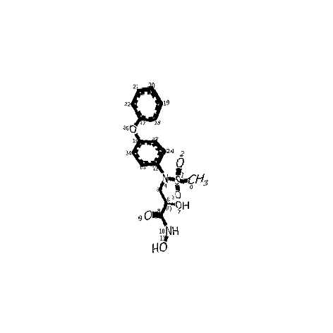 CS(=O)(=O)N(C[C@@H](O)C(=O)NO)c1ccc(Oc2ccccc2)cc1